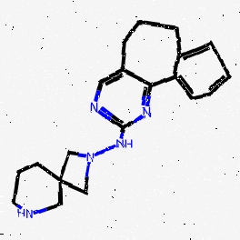 c1ccc2c(c1)CCCc1cnc(NN3CC4(CCCNC4)C3)nc1-2